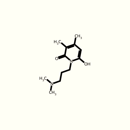 Cc1cc(O)n(CCCN(C)C)c(=O)c1C